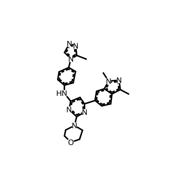 Cc1nn(C)c2cc(-c3cc(Nc4ccc(-n5cnnc5C)cc4)nc(N4CCOCC4)n3)ccc12